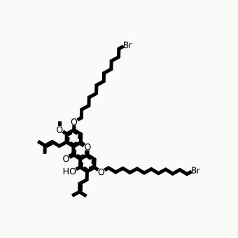 COc1c(OCCCCCCCCCCCCBr)cc2oc3cc(OCCCCCCCCCCCCBr)c(CC=C(C)C)c(O)c3c(=O)c2c1CC=C(C)C